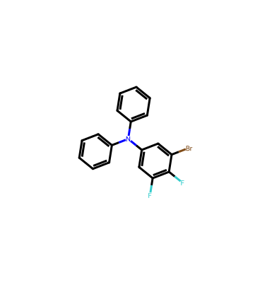 Fc1cc(N(c2ccccc2)c2ccccc2)cc(Br)c1F